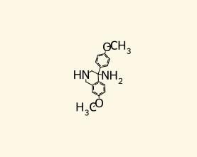 COc1ccc(C2(N)CNCc3cc(OC)ccc32)cc1